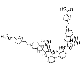 [2H]C([2H])([2H])n1c(C(=O)Nc2cccc(-c3cccc(NC(=O)c4nc5c(n4C([2H])([2H])[2H])CCN(CCC46CCC(C(=O)O)(CC4)C6)C5)c3Cl)c2Cl)nc2c1CCN(CCC13CCC(COC)(CC1)C3)C2